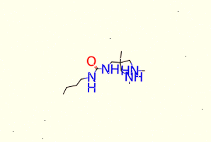 CCCCNC(=O)NCC(C)(CNC)CNC